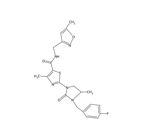 Cc1cc(CNC(=O)c2sc(N3CC(C)N(Cc4ccc(F)cc4)C3=O)nc2C)no1